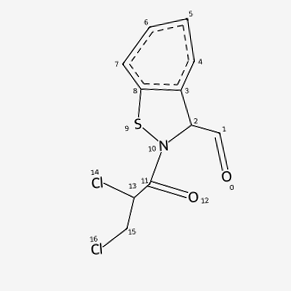 O=CC1c2ccccc2SN1C(=O)C(Cl)CCl